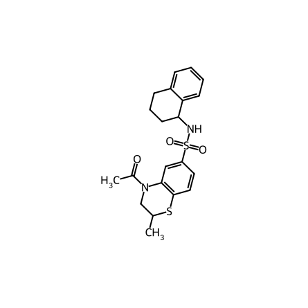 CC(=O)N1CC(C)Sc2ccc(S(=O)(=O)NC3CCCc4ccccc43)cc21